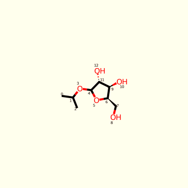 CC(C)OC1O[C@H](CO)[C@H](O)[C@H]1O